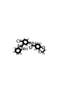 O=C(Nc1ccc(Cl)c(-c2nc3ccccc3[nH]2)c1)c1ccc2c(c1)OCCO2